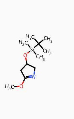 COC1=NCC(O[Si](C)(C)C(C)(C)C)C1